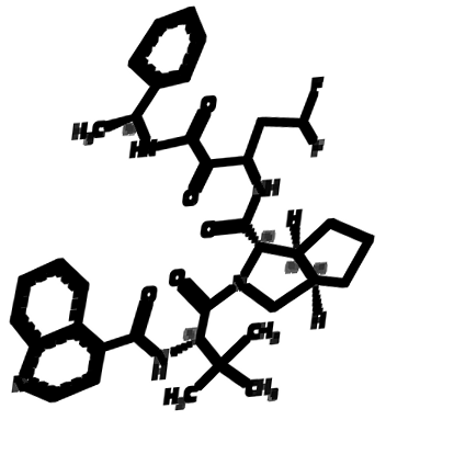 C[C@H](NC(=O)C(=O)C(CC(F)F)NC(=O)[C@@H]1[C@H]2CCC[C@H]2CN1C(=O)[C@@H](NC(=O)c1ccnc2ccccc12)C(C)(C)C)c1ccccc1